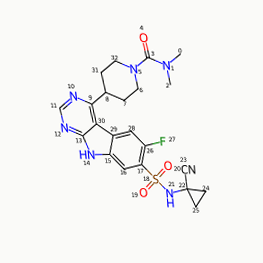 CN(C)C(=O)N1CCC(c2ncnc3[nH]c4cc(S(=O)(=O)NC5(C#N)CC5)c(F)cc4c23)CC1